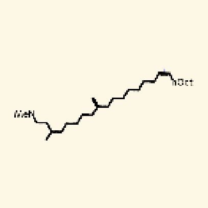 C=C(CCCCCCC/C=C\CCCCCCCC)CCCCCC(C)CCNC